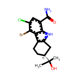 CC(C)(O)[C@@H]1CCc2c([nH]c3c(C(N)=O)cc(Cl)c(Br)c23)C1